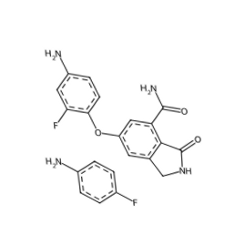 NC(=O)c1cc(Oc2ccc(N)cc2F)cc2c1C(=O)NC2.Nc1ccc(F)cc1